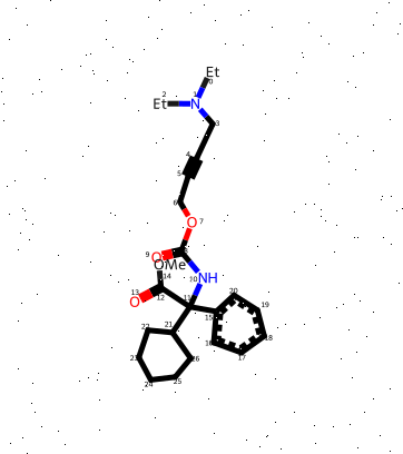 CCN(CC)CC#CCOC(=O)NC(C(=O)OC)(c1ccccc1)C1CCCCC1